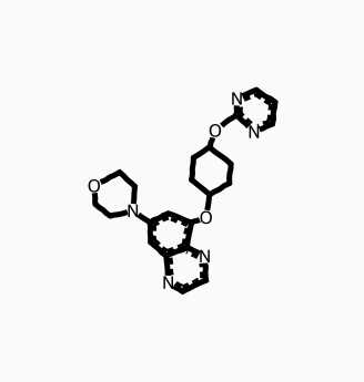 c1cnc(OC2CCC(Oc3cc(N4CCOCC4)cc4nccnc34)CC2)nc1